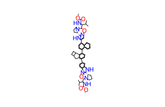 COC(=O)NC(C(=O)N1CCC[C@H]1c1ncc(-c2ccc(-c3ccc(-c4ccc5nc([C@@H]6CCCN6C(=O)[C@@H](NC(=O)OC)C(C)C)[nH]c5c4)c4c3C3CCC3C4)c3ccccc23)[nH]1)C(C)C